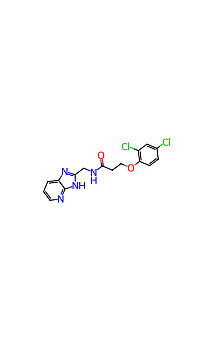 O=C(CCOc1ccc(Cl)cc1Cl)NCc1nc2cccnc2[nH]1